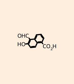 O=Cc1c(O)ccc2c(C(=O)O)cccc12